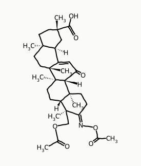 CC(=O)OC[C@]1(C)/C(=N/OC(C)=O)CC[C@@]2(C)[C@H]1CC[C@]1(C)[C@@H]2C(=O)C=C2[C@@H]3C[C@@](C)(C(=O)O)CC[C@]3(C)CC[C@]21C